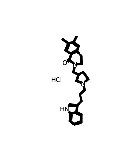 Cc1cc2c(cc1C)C(=O)N(CC1CCN(CCCc3c[nH]c4ccccc34)C1)CC2.Cl